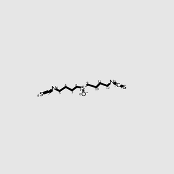 [O-][S+](CCCCN=C=S)CCCCN=C=S